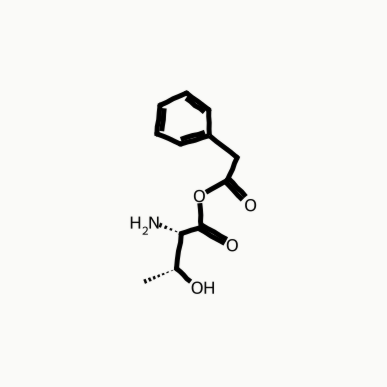 C[C@@H](O)[C@H](N)C(=O)OC(=O)Cc1ccccc1